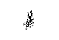 CC[C@]12CC[C@H]3[C@@H](CCC4=CC(=O)CC[C@@H]43)[C@@H]1[C@H]1C[C@H]1[C@@]2(O)/C=C/Br